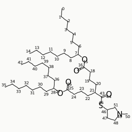 CCCCCCCC(CCCCCCC)OC(=O)CCCC(CCCC(=O)OC(CCCCCCC)CCCCCCC)C(=O)SC1CCN(C)C1